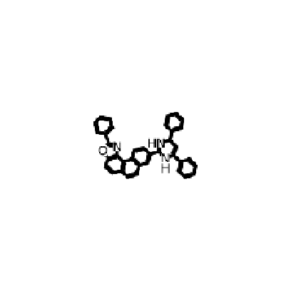 C1=C(c2ccccc2)NC(c2ccc3c(ccc4ccc5oc(-c6ccccc6)nc5c43)c2)NC1c1ccccc1